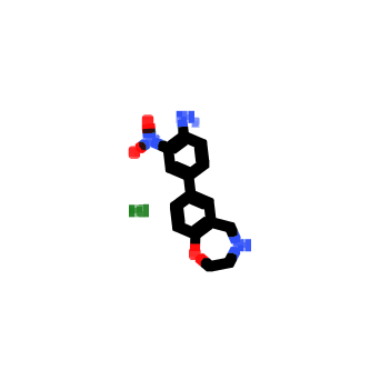 Cl.Nc1ccc(-c2ccc3c(c2)CNCCO3)cc1[N+](=O)[O-]